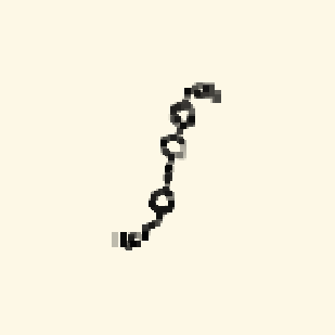 CCCCc1ccc(C#CC2=CCC(c3ccc(CC)cc3)CC2)cc1